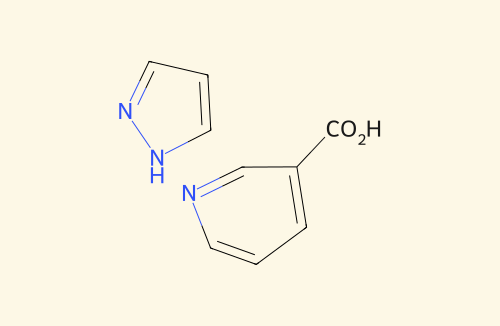 O=C(O)c1cccnc1.c1cn[nH]c1